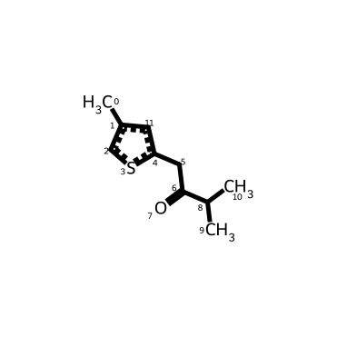 Cc1csc(CC(=O)C(C)C)c1